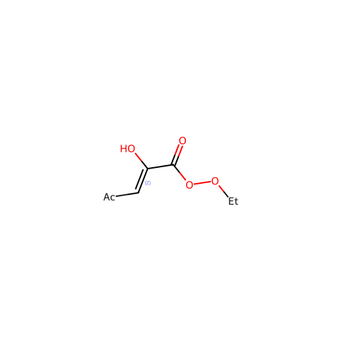 CCOOC(=O)/C(O)=C/C(C)=O